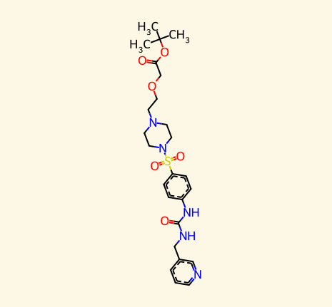 CC(C)(C)OC(=O)COCCN1CCN(S(=O)(=O)c2ccc(NC(=O)NCc3cccnc3)cc2)CC1